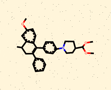 COc1ccc2c(c1)C(C)CC(c1ccccc1)=C2c1ccc(N2CCC(C(OC)OC)CC2)cc1